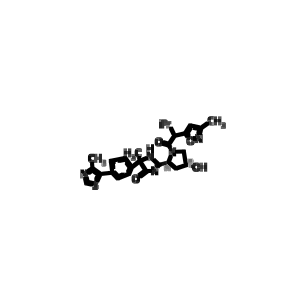 Cc1cc(C(C(=O)N2C[C@H](O)C[C@H]2C2=NC(=O)C(C)(c3ccc(-c4scnc4C)cc3)N2)C(C)C)on1